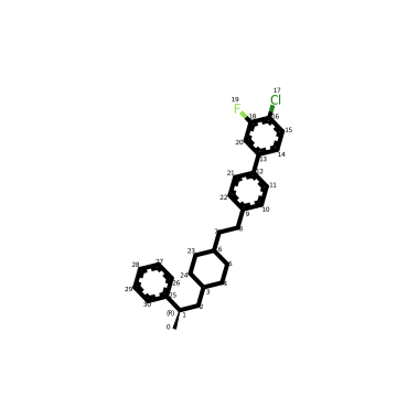 C[C@H](CC1CCC(CCc2ccc(-c3ccc(Cl)c(F)c3)cc2)CC1)c1ccccc1